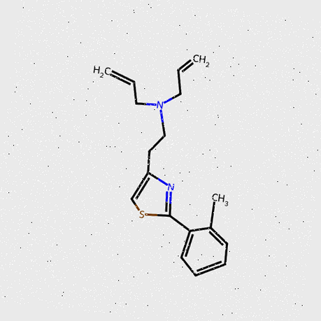 C=CCN(CC=C)CCc1csc(-c2ccccc2C)n1